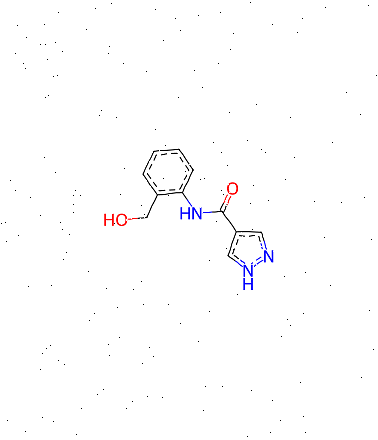 O=C(Nc1ccccc1CO)c1cn[nH]c1